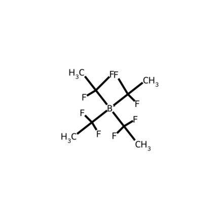 CC(F)(F)[B-](C(C)(F)F)(C(C)(F)F)C(C)(F)F